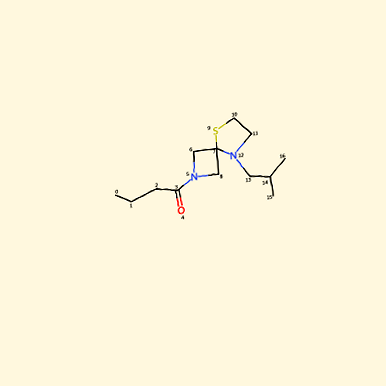 CCCC(=O)N1CC2(C1)SCCN2CC(C)C